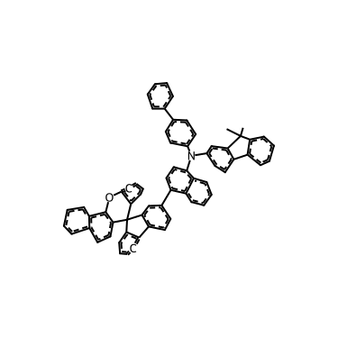 CC1(C)c2ccccc2-c2ccc(N(c3ccc(-c4ccccc4)cc3)c3ccc(-c4ccc5c(c4)C4(c6ccccc6Oc6c4ccc4ccccc64)c4ccccc4-5)c4ccccc34)cc21